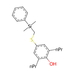 CCCc1cc(SC[Si](C)(C)c2ccccc2)cc(CCC)c1O